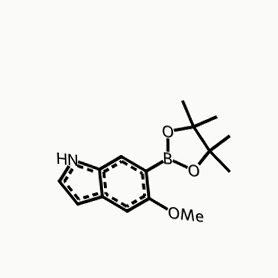 COc1cc2cc[nH]c2cc1B1OC(C)(C)C(C)(C)O1